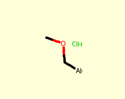 CO[CH2][Al].Cl